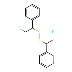 FCC(SSC(CF)c1ccccc1)c1ccccc1